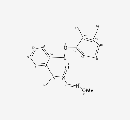 CON=CC(=O)N(C)c1ccccc1COc1cccc(C)c1C